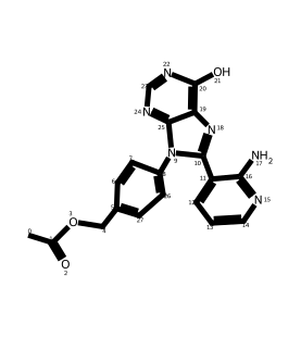 CC(=O)OCc1ccc(-n2c(-c3cccnc3N)nc3c(O)ncnc32)cc1